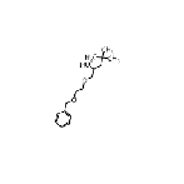 CC(C)(C)CC(O)COCCOCc1ccccc1